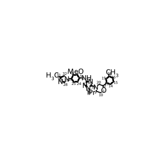 COc1cc(Nc2nc(N3CCOC(c4cccc(C)c4)C3)n(C(C)C)n2)ccc1-n1cnc(C)c1